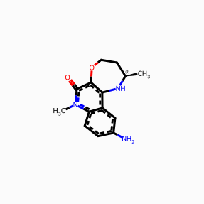 C[C@@H]1CCOc2c(c3cc(N)ccc3n(C)c2=O)N1